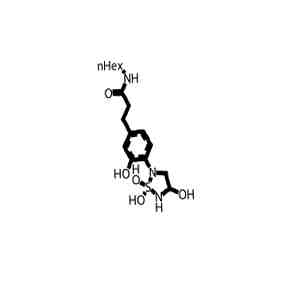 CCCCCCNC(=O)CCc1ccc(N2CC(O)NS2(O)O)c(O)c1